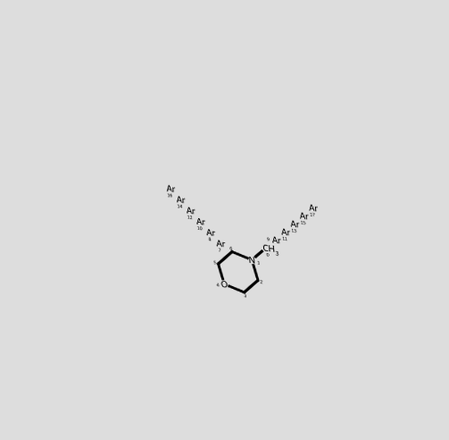 CN1CCOCC1.[Ar].[Ar].[Ar].[Ar].[Ar].[Ar].[Ar].[Ar].[Ar].[Ar].[Ar]